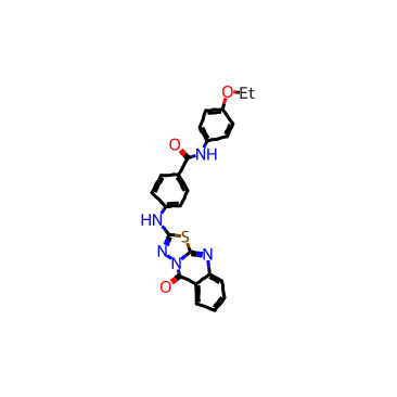 CCOc1ccc(NC(=O)c2ccc(Nc3nn4c(=O)c5ccccc5nc4s3)cc2)cc1